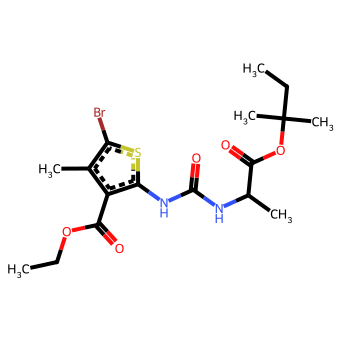 CCOC(=O)c1c(NC(=O)NC(C)C(=O)OC(C)(C)CC)sc(Br)c1C